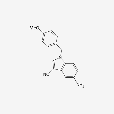 COc1ccc(Cn2cc(C#N)c3cc(N)ccc32)cc1